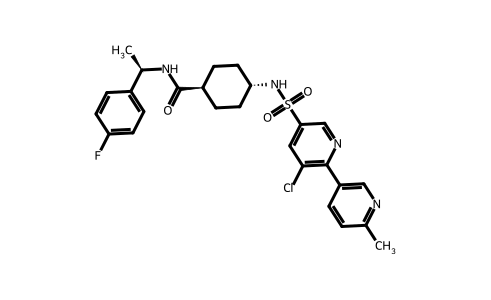 Cc1ccc(-c2ncc(S(=O)(=O)N[C@H]3CC[C@H](C(=O)N[C@H](C)c4ccc(F)cc4)CC3)cc2Cl)cn1